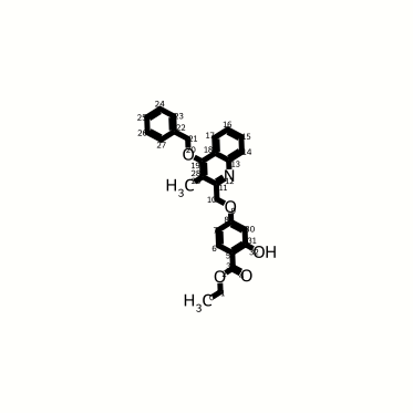 CCOC(=O)c1ccc(OCc2nc3ccccc3c(OCc3ccccc3)c2C)cc1O